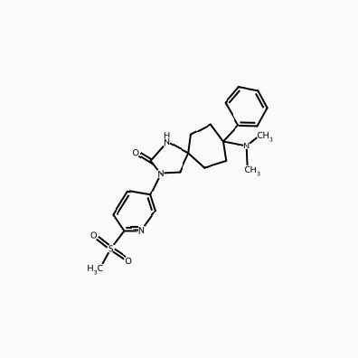 CN(C)C1(c2ccccc2)CCC2(CC1)CN(c1ccc(S(C)(=O)=O)nc1)C(=O)N2